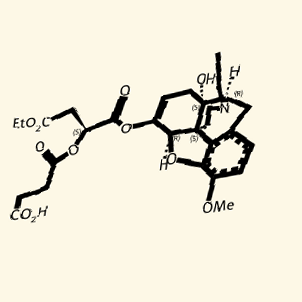 CCOC(=O)C[C@H](OC(=O)CCC(=O)O)C(=O)OC1=CC[C@@]2(O)[C@H]3Cc4ccc(OC)c5c4[C@@]2(CCN3C)[C@H]1O5